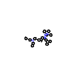 CC1(C)c2ccc(-c3cccc(N(c4ccc(-c5ccccc5)cc4)c4ccc5ccccc5c4)c3)cc2-c2ccc3c(c21)c1cc2c4ccccc4c4ccccc4c2cc1n3-c1cc(-c2ccccc2)nc(-c2ccccc2-c2ccccc2)n1